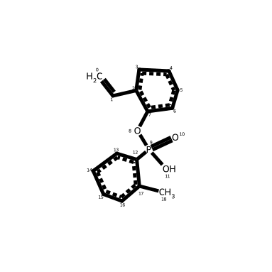 C=Cc1ccccc1OP(=O)(O)c1ccccc1C